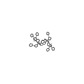 c1ccc(-c2cccc(N(c3ccc4c(-c5ccccc5)c(-c5ccccc5)sc4c3)c3ccc4ccc5c(N(c6cccc(-c7ccccc7)c6)c6ccc7c(-c8ccccc8)c(-c8ccccc8)sc7c6)ccc6ccc3c4c65)c2)cc1